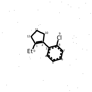 CCC1=C(c2ccccc2Cl)CCC1